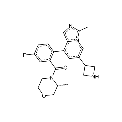 Cc1ncc2c(-c3ccc(F)cc3C(=O)N3CCOC[C@H]3C)cc(C3CNC3)cn12